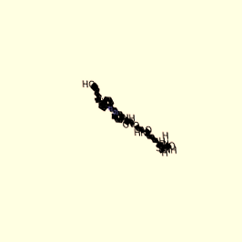 C=C1CC[C@@H](NC(=O)CCOCCNC(=O)CCCC[C@@H]2SC[C@@H]3NC(=O)N[C@@H]32)C/C1=C/C=C1\CCC[C@@]2(C)C1CC[C@@H]2C(C)CCCC(C)(C)O